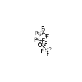 CC(F)C(F)(F)OC(F)(F)C(F)=C(F)F